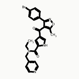 CCN(Cc1ccncc1)C(=O)c1cc(C(=O)c2c(-c3ccc(Br)cc3)noc2C)c[nH]1